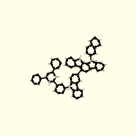 c1ccc(-c2cc(-c3ccccc3)nc(-c3cccc(-n4c5ccccc5c5cc(-c6cc7c8ccccc8n(-c8ccc9ccccc9c8)c7c7sc8ccccc8c67)ccc54)c3)n2)cc1